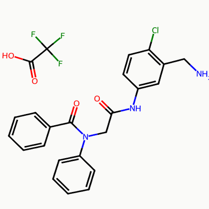 NCc1cc(NC(=O)CN(C(=O)c2ccccc2)c2ccccc2)ccc1Cl.O=C(O)C(F)(F)F